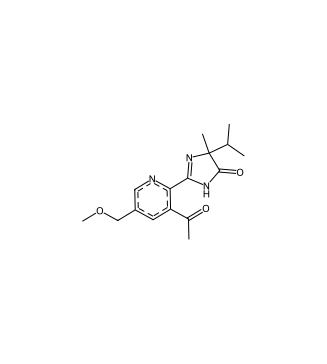 COCc1cnc(C2=NC(C)(C(C)C)C(=O)N2)c(C(C)=O)c1